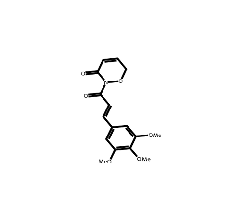 COc1cc(/C=C/C(=O)N2OCC=CC2=O)cc(OC)c1OC